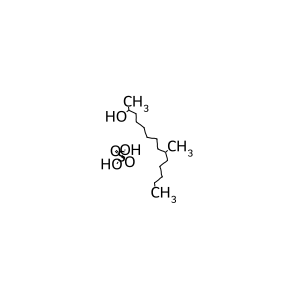 CCCCCC(C)CCCCCCC(C)O.O=S(=O)(O)O